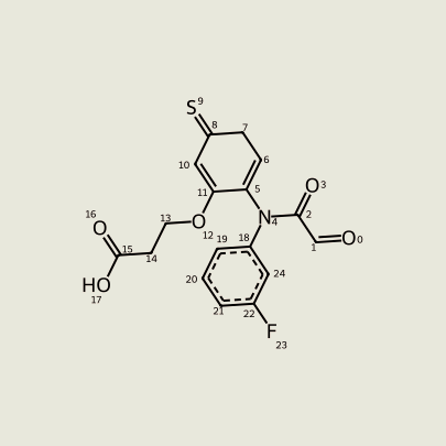 O=CC(=O)N(C1=CCC(=S)C=C1OCCC(=O)O)c1cccc(F)c1